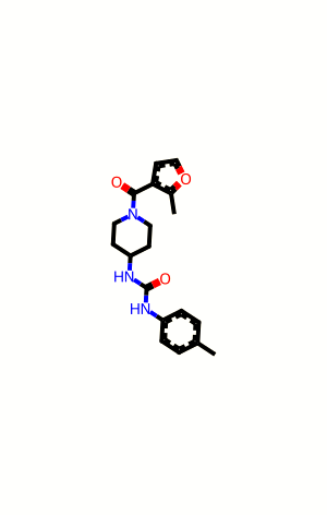 Cc1ccc(NC(=O)NC2CCN(C(=O)c3ccoc3C)CC2)cc1